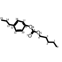 CCCCCOC(=O)Oc1ccc(CCC)cc1